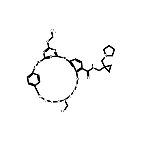 CC(C)CN1CCCOc2ccc(cc2)CNc2nc(nc(OCC(F)(F)F)n2)Nc2ccc(C(=O)NCC3(CN4CCCC4)CC3)c(c2)OCCC1